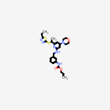 C=CCOC(=O)Nc1cccc(CNc2cc(N3CCOCC3)cc(C(C)Sc3nnc(CC)s3)n2)c1